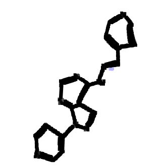 C(=N\Nc1ncnc2c1cnn2-c1ccncc1)/c1ccncc1